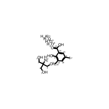 NC(CO)(CO)CO.O.O.O.O=C(O)c1cc(I)cc(I)c1O.[AlH3]